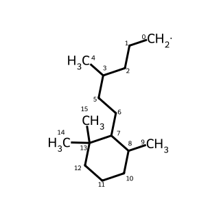 [CH2]CCC(C)CCC1C(C)CCCC1(C)C